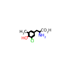 Cc1cc(CC(N)C(=O)O)cc(Cl)c1O